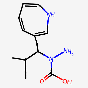 C[C](C)C(C1=CNC=CC=C1)N(N)C(=O)O